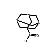 O=[N+]([O-])C12CN3CN(CN(C3)C1)C2